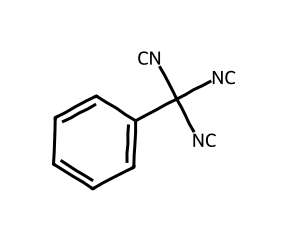 [C-]#[N+]C([N+]#[C-])([N+]#[C-])c1ccccc1